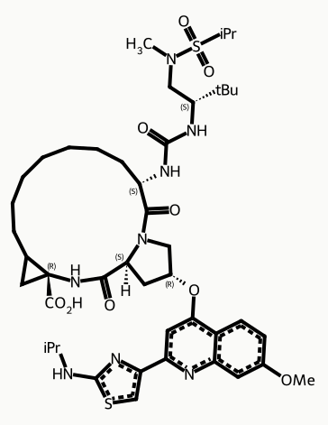 COc1ccc2c(O[C@@H]3C[C@H]4C(=O)N[C@]5(C(=O)O)CC5CCCCCCC[C@H](NC(=O)N[C@H](CN(C)S(=O)(=O)C(C)C)C(C)(C)C)C(=O)N4C3)cc(-c3csc(NC(C)C)n3)nc2c1